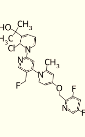 CC1=CC(OCc2ncc(F)cc2F)=CCN1c1cc(N2C=CC=C(C(C)(C)O)C2Cl)ncc1CF